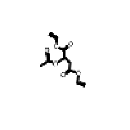 C=COC(=O)CC(OC(C)=O)C(=O)OC=C